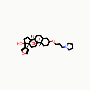 C[C@]12CCC(OCCCN3CCCC3)CC1CC[C@@H]1[C@H]2CC[C@]2(C)C(O)(c3ccoc3)CC[C@@]12O